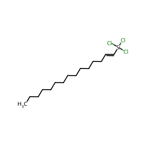 CCCCCCCCCCCCCC=C[Si](Cl)(Cl)Cl